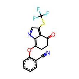 N#Cc1ccccc1OC1=C2N=CC(SC(F)(F)F)=C2C(=O)CC1